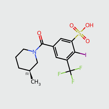 C[C@H]1CCCN(C(=O)c2cc(C(F)(F)F)c(I)c(S(=O)(=O)O)c2)C1